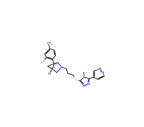 Cn1c(SCCCN2C[C@@H]3C[C@]3(c3ccc(C(F)(F)F)cc3F)C2)nnc1-c1ccnnc1